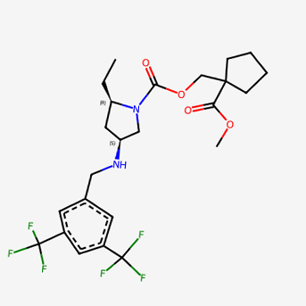 CC[C@@H]1C[C@H](NCc2cc(C(F)(F)F)cc(C(F)(F)F)c2)CN1C(=O)OCC1(C(=O)OC)CCCC1